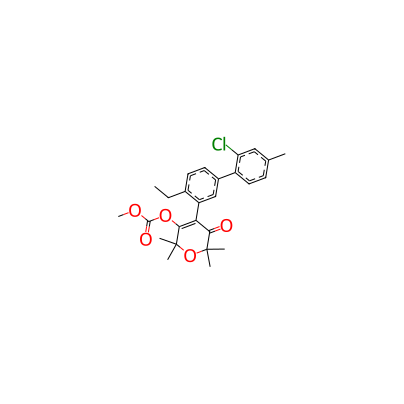 CCc1ccc(-c2ccc(C)cc2Cl)cc1C1=C(OC(=O)OC)C(C)(C)OC(C)(C)C1=O